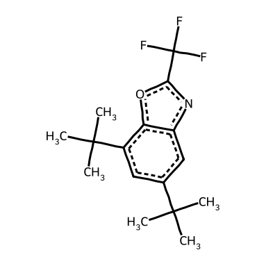 CC(C)(C)c1cc(C(C)(C)C)c2oc(C(F)(F)F)nc2c1